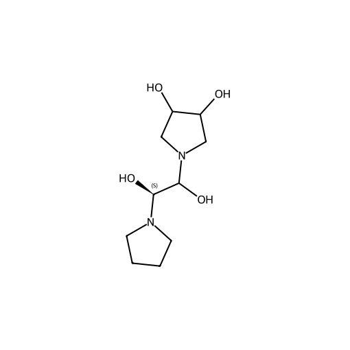 OC1CN(C(O)[C@H](O)N2CCCC2)CC1O